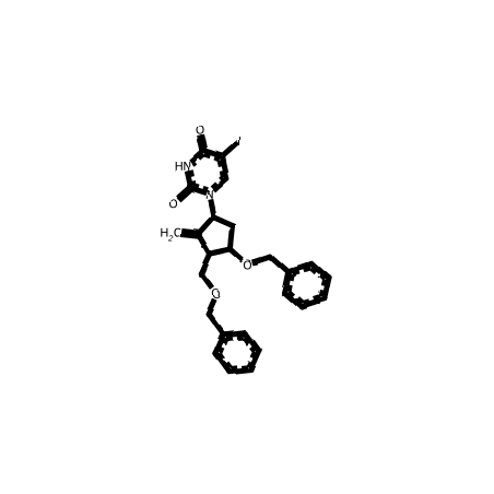 C=C1C(COCc2ccccc2)C(OCc2ccccc2)CC1n1cc(I)c(=O)[nH]c1=O